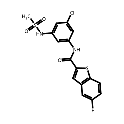 CS(=O)(=O)Nc1cc(Cl)cc(NC(=O)c2cc3cc(F)ccc3s2)c1